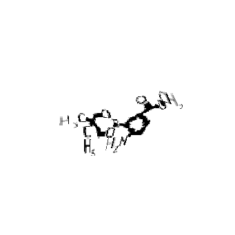 COC(=O)c1ccc(N)c(B2OCC(C)(C)CO2)c1